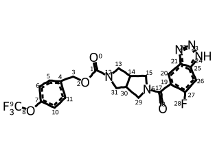 O=C(OCc1ccc(OC(F)(F)F)cc1)N1CC2CN(C(=O)c3cc4nn[nH]c4cc3F)CC2C1